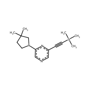 CC1(C)CCN(c2cncc(C#C[Si](C)(C)C)n2)C1